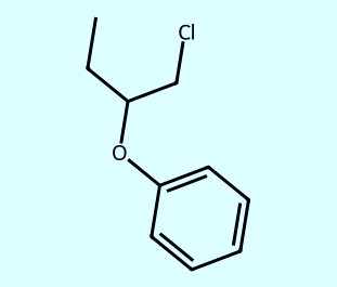 CCC(CCl)Oc1ccccc1